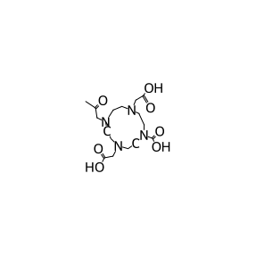 CC(=O)CN1CCN(CC(=O)O)CCN(C(=O)O)CCN(CC(=O)O)CC1